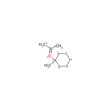 C[SiH](C)OC1(C)CCCCC1